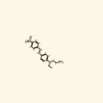 CCN(CCN)c1ccc(N=Nc2ccc([N+](=O)[O-])cc2)cc1